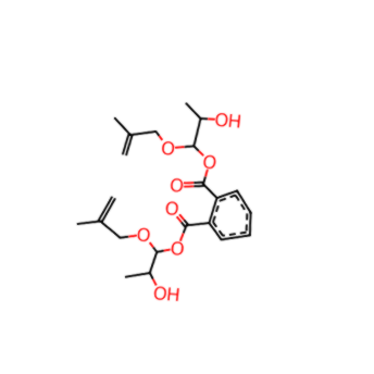 C=C(C)COC(OC(=O)c1ccccc1C(=O)OC(OCC(=C)C)C(C)O)C(C)O